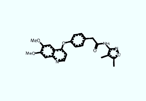 COc1cc2nccc(Oc3ccc(CC(=O)Nc4noc(C)c4C)cc3)c2cc1OC